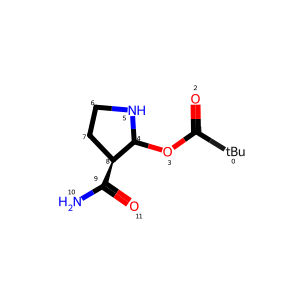 CC(C)(C)C(=O)OC1NCC[C@@H]1C(N)=O